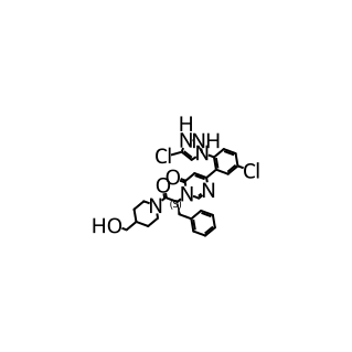 O=C([C@H](Cc1ccccc1)n1cnc(-c2cc(Cl)ccc2N2C=C(Cl)NN2)cc1=O)N1CCC(CO)CC1